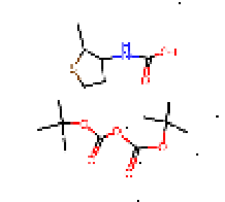 CC(C)(C)OC(=O)OC(=O)OC(C)(C)C.CC1SCCC1NC(=O)O